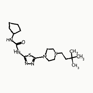 CC(C)(C)CCN1CCN(c2nnc(NC(=O)NC3CCCC3)s2)CC1